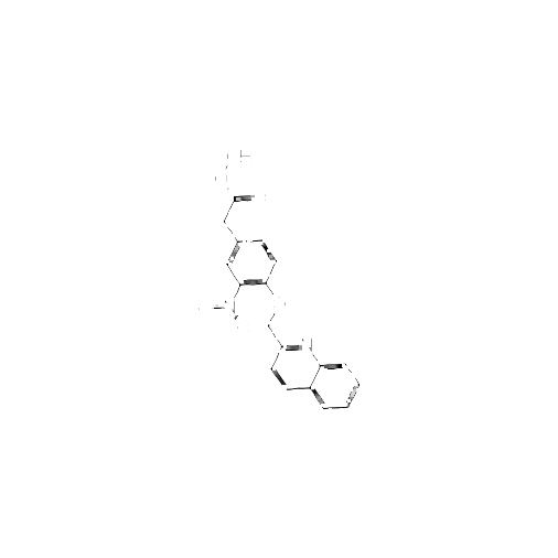 COC(=O)Cc1ccc(OCc2ccc3ccccc3n2)c([N+](=O)[O-])c1